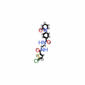 O=C(NCCNC(=O)c1ccc(Cl)s1)c1ccc(N2CCCCC2=O)cc1